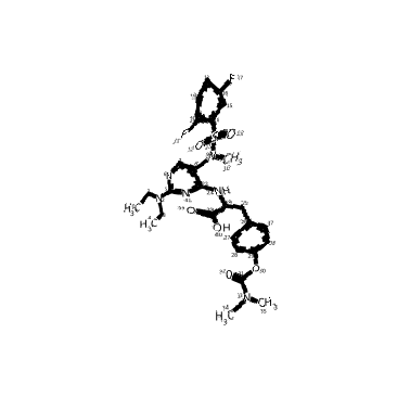 CCN(CC)c1ncc(N(C)S(=O)(=O)c2cc(F)ccc2F)c(NC(Cc2ccc(OC(=O)N(C)C)cc2)C(=O)O)n1